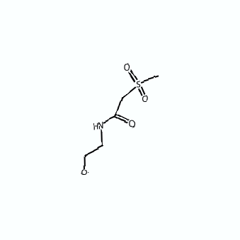 CS(=O)(=O)CC(=O)NCC[O]